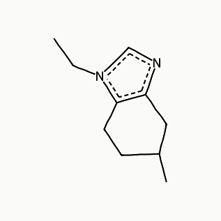 CCn1cnc2c1CCC(C)C2